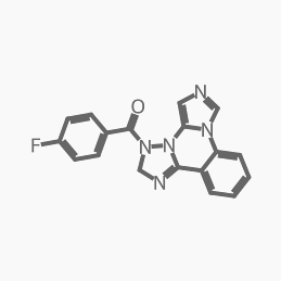 O=C(c1ccc(F)cc1)N1CN=C2c3ccccc3-n3cncc3N21